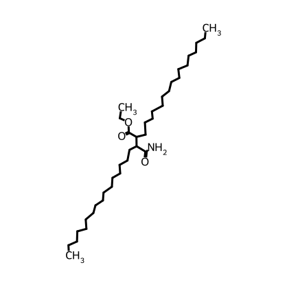 CCCCCCCCCCCCCCCCC(C(N)=O)C(CCCCCCCCCCCCCCCC)C(=O)OCC